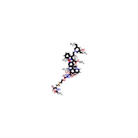 CCC1CN(CCc2c([C@@](C)(C(=O)OC)c3cc4c(cc3OC)N(C)[C@H]3[C@@](O)(C(=O)NNC(=O)OCCSSC[C@H](NC(C)=O)C(=O)O)[C@H](O)[C@]5(CC)C=CCN6CC[C@]43[C@@H]65)[nH]c3ccccc23)C[C@](O)(CC)C1